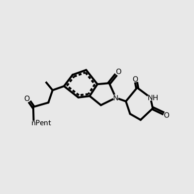 CCCCCC(=O)CC(C)c1ccc2c(c1)CN(C1CCC(=O)NC1=O)C2=O